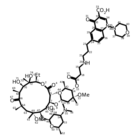 CC[C@H]1OC(=O)[C@H](C)[C@@H](O[C@H]2C[C@@](C)(OC)[C@@H](OC(=O)CCNCCCc3ccc4c(c3)c(=O)c(C(=O)O)cn4N3CCOCC3)[C@H](C)O2)[C@H](C)[C@@H](O[C@@H]2O[C@H](C)C[C@H](N(C)C)[C@H]2O)[C@](C)(OC)C[C@@H](C)C(=O)[C@@H](C)[C@@H](O)[C@]1(C)O